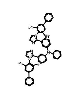 CC(C)c1cc(-c2ccccc2)cc(C(C)C)c1-n1ccnc1-c1cccc(N(c2ccccc2)c2cccc(-c3nccn3-c3c(C(C)C)cc(-c4ccccc4)cc3C(C)C)c2)c1